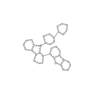 c1ccc(-c2ccc(-n3c4ccccc4c4cccc(-c5cccc6c5oc5ccccc56)c43)cc2)cc1